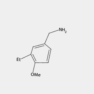 CCc1cc(CN)ccc1OC